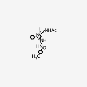 CC(=O)NCCNc1cc(NCCNC(=O)c2ccc(C)cc2)nc(-c2ccccc2)n1